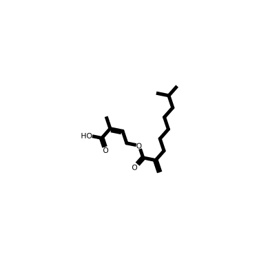 C=C(CCCCCC(C)C)C(=O)OCC=C(C)C(=O)O